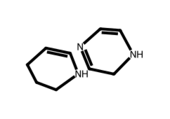 C1=CNCC=N1.C1=CNCCC1